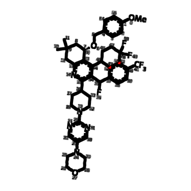 COc1ccc(CO[C@H]2CC(C)(C)Cc3nc(C4CCN(c5ncc(N6CCOCC6)cn5)CC4)c(C(F)c4ccc(C(F)(F)F)cc4)c(C4CCC(F)(F)CC4)c32)cc1